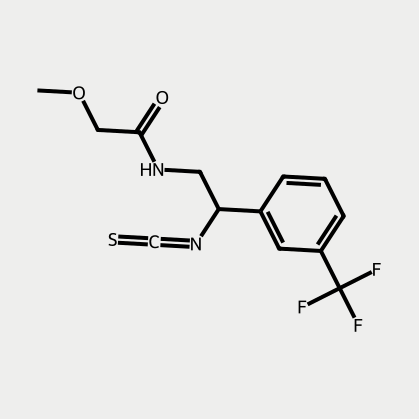 COCC(=O)NCC(N=C=S)c1cccc(C(F)(F)F)c1